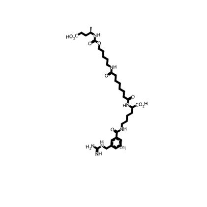 C[C@H](CCC(=O)O)NC(=O)OCCCCCNC(=O)CCCCCCC(=O)NC(CCCCNC(=O)c1cc([131I])cc(CNC(=N)N)c1)C(=O)O